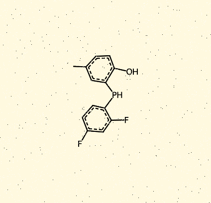 Cc1ccc(O)c(Pc2ccc(F)cc2F)c1